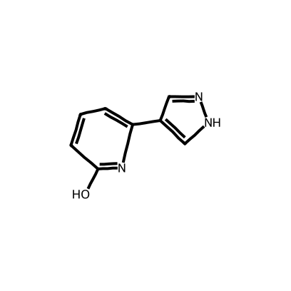 Oc1cccc(-c2cn[nH]c2)n1